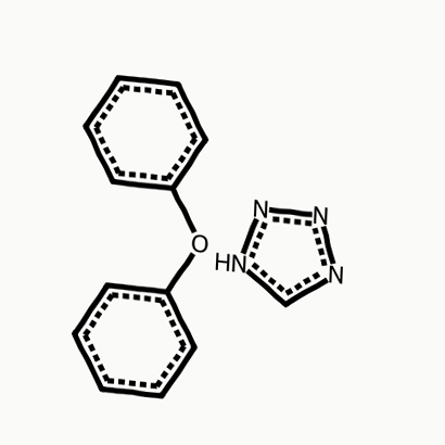 c1ccc(Oc2ccccc2)cc1.c1nnn[nH]1